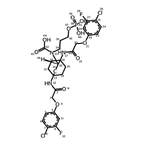 O=C(COc1ccc(Cl)c(F)c1)NC12CCC(NC(=O)COc3ccc(Cl)c(F)c3)(CC1)[C@@H](N(CCCOP(=O)(O)O)C(=O)O)C2